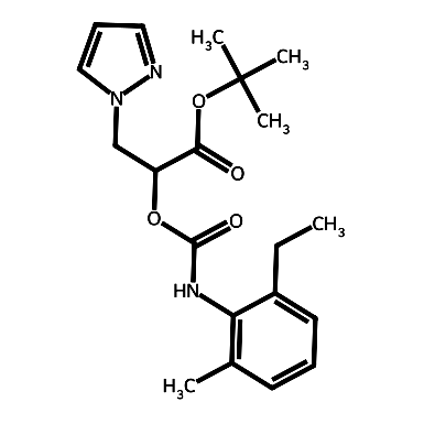 CCc1cccc(C)c1NC(=O)OC(Cn1cccn1)C(=O)OC(C)(C)C